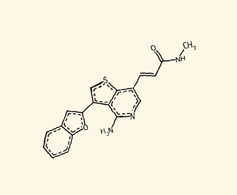 CNC(=O)C=Cc1cnc(N)c2c(-c3cc4ccccc4o3)csc12